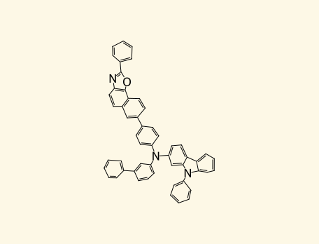 c1ccc(-c2cccc(N(c3ccc(-c4ccc5c(ccc6nc(-c7ccccc7)oc65)c4)cc3)c3ccc4c5ccccc5n(-c5ccccc5)c4c3)c2)cc1